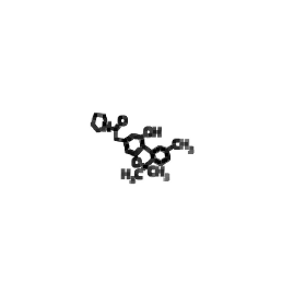 Cc1ccc2c(c1)-c1c(O)cc(CC(=O)N3CCCC3)cc1OC2(C)C